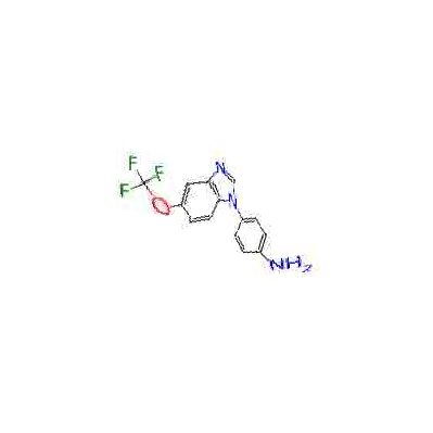 Nc1ccc(-n2cnc3cc(OC(F)(F)F)ccc32)cc1